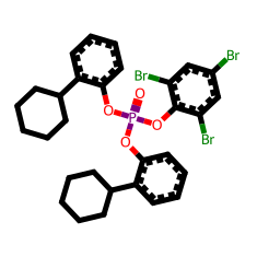 O=P(Oc1ccccc1C1CCCCC1)(Oc1ccccc1C1CCCCC1)Oc1c(Br)cc(Br)cc1Br